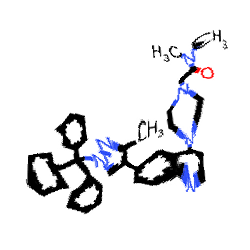 Cc1nn(C(c2ccccc2)(c2ccccc2)c2ccccc2)cc1-c1ccc2nccc(N3CCN(CC(=O)N(C)C)CC3)c2c1